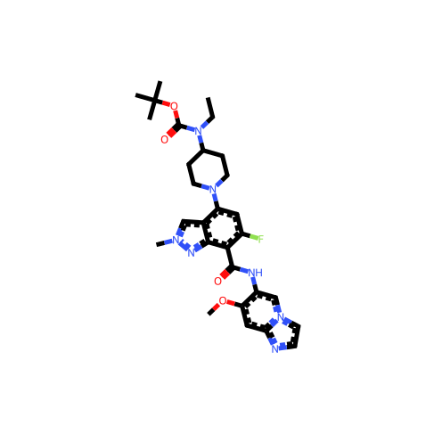 CCN(C(=O)OC(C)(C)C)C1CCN(c2cc(F)c(C(=O)Nc3cn4ccnc4cc3OC)c3nn(C)cc23)CC1